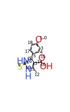 COc1ccc([C@@H]2NC(=S)NC(C)=C2C(=O)O)cc1